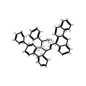 NC(NC(/C=C/c1c2ccccc2cc2c1ccc1ccccc12)c1ccccc1-c1ccc(-c2ccccc2)cc1)c1ccccc1